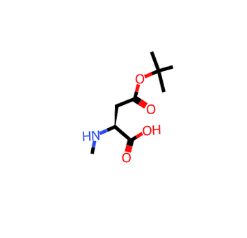 CN[C@@H](CC(=O)OC(C)(C)C)C(=O)O